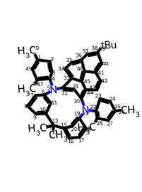 Cc1ccc(N2c3cccc(c3)C(C)(C)c3cccc(c3)N(c3ccc(C)cc3C)c3cc2c2ccc4cc(C(C)(C)C)cc5ccc3c2c45)c(C)c1